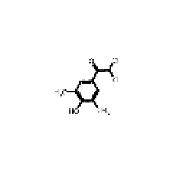 Cc1cc(C(=O)C(Cl)Cl)cc(C)c1O